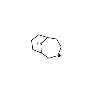 C1CC2CCNCC(C1)N2